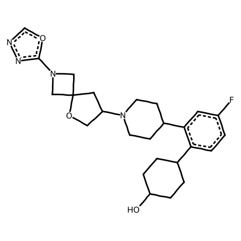 OC1CCC(c2ccc(F)cc2C2CCN(C3COC4(C3)CN(c3nnco3)C4)CC2)CC1